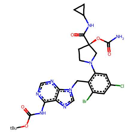 CC(C)(C)OC(=O)Nc1ncnc2c1ncn2Cc1c(Br)cc(Cl)cc1N1CC[C@](OC(N)=O)(C(=O)NC2CC2)C1